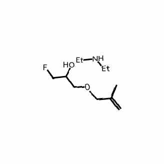 C=C(C)COCC(O)CF.CCNCC